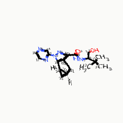 CC(C)(C)C(CO)NC(=O)c1nn(-c2cnccn2)c2c1C[C@H]1C[C@@H]21